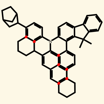 CC1(C)c2ccccc2-c2ccc(N(c3ccc(C4CC5CCC4C5)cc3)c3cc4ccccc4cc3C3CCCCC3)c(-c3ccc(C4CCCCC4)cc3)c21